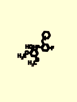 COc1cc(OC)c(O)c(Pc2ccc(F)cc2CN2CCCCC2)c1